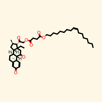 CCCCCCC/C=C\CCCCCCCCOC(=O)CCC(=O)OCC(=O)[C@H]1[C@H](C)C[C@H]2[C@@H]3CCC4=CC(=O)C=C[C@]4(C)[C@H]3C(=O)CC21CC